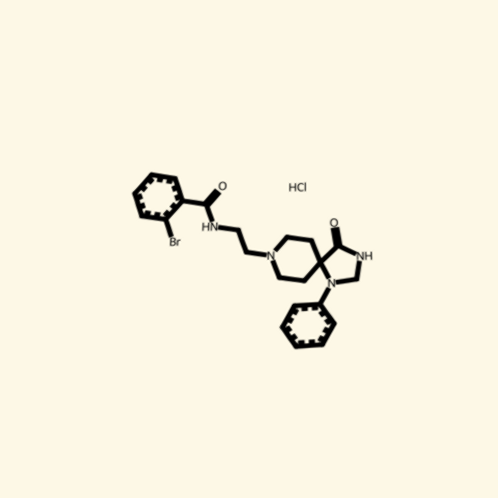 Cl.O=C(NCCN1CCC2(CC1)C(=O)NCN2c1ccccc1)c1ccccc1Br